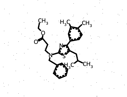 CCOC(=O)CCN(Cc1ccccc1)c1nc(-c2ccc(C)c(C)c2)c(CC(C)C)s1